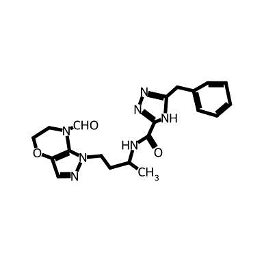 CC(CCn1ncc2c1N(C=O)CCO2)NC(=O)c1nnc(Cc2ccccc2)[nH]1